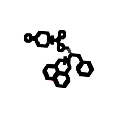 O=C1CCN(C(=O)OC[C@H](Cc2ccccc2)N(Cc2ccccc2)Cc2ccccc2)CC1